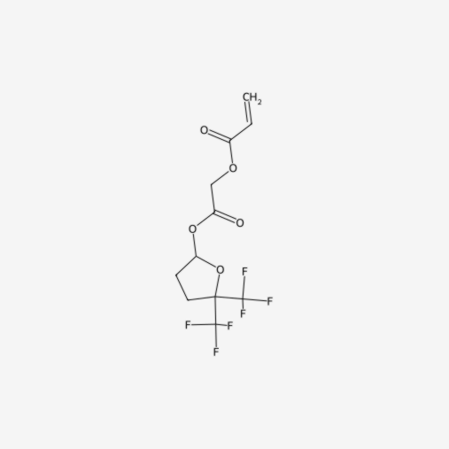 C=CC(=O)OCC(=O)OC1CCC(C(F)(F)F)(C(F)(F)F)O1